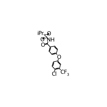 CC(C)S(=O)(=O)NC(=O)c1ccc(Oc2ccc(Cl)c(C(F)(F)F)c2)cc1